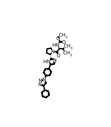 COC(=O)N[C@H](C(=O)N1CCC[C@H]1c1ncc(-c2ccc(-n3cc(-c4ccccc4)nn3)cc2)[nH]1)C(C)C